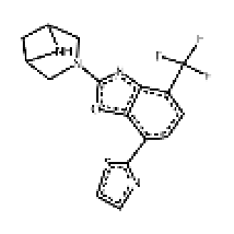 FC(F)(F)c1ccc(-c2nccs2)c2oc(N3CC4CC(C3)N4)nc12